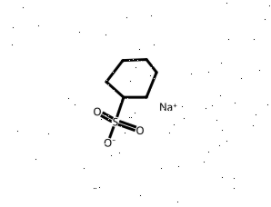 O=S(=O)([O-])C1CCCCC1.[Na+]